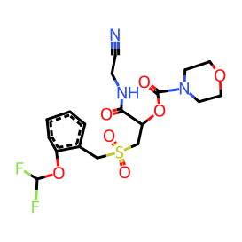 N#CCNC(=O)C(CS(=O)(=O)Cc1ccccc1OC(F)F)OC(=O)N1CCOCC1